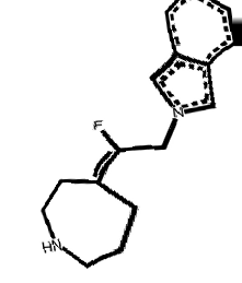 FC(Cn1cc2ccccc2c1)=C1CCCNCC1